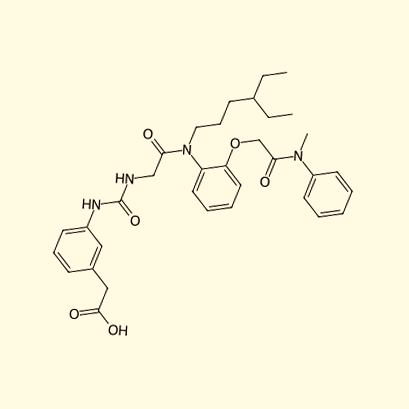 CCC(CC)CCCN(C(=O)CNC(=O)Nc1cccc(CC(=O)O)c1)c1ccccc1OCC(=O)N(C)c1ccccc1